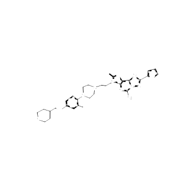 Nc1nc2c(sc(=O)n2CCN2CCN(c3ccc(OCC4CCNCC4)cc3F)CC2)c2nc(-c3ccco3)nn12